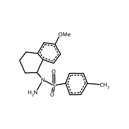 COc1ccc2c(c1)CCCC2N(N)S(=O)(=O)c1ccc(C)cc1